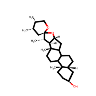 C[C@@H]1CO[C@]2(C[C@@H]1C)O[C@H]1CC3C4CC[C@@H]5C[C@@H](O)CC[C@]5(C)C4CC[C@]3(C)[C@H]1[C@@H]2C